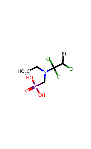 CCC(Cl)C(Cl)(Cl)N(CC(=O)O)CP(=O)(O)O